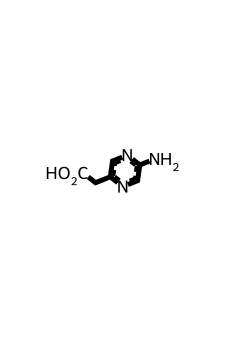 Nc1cnc(CC(=O)O)cn1